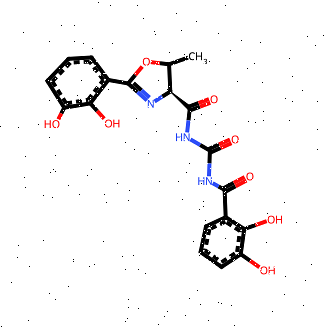 CC1OC(c2cccc(O)c2O)=N[C@@H]1C(=O)NC(=O)NC(=O)c1cccc(O)c1O